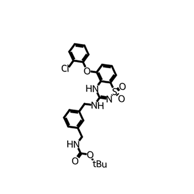 CC(C)(C)OC(=O)NCc1cccc(CNC2=NS(=O)(=O)c3cccc(Oc4ccccc4Cl)c3N2)c1